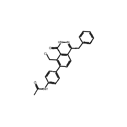 CC(=O)Nc1ccc(-c2ccc3c(Cc4ccccc4)n[nH]c(=O)c3c2CCl)cc1